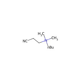 CCCC[N+](C)(C)CCC#N